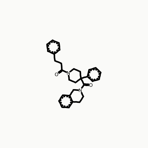 O=C(CCc1ccccc1)N1CCC(C(=O)N2CCc3ccccc3C2)(c2ccccc2)CC1